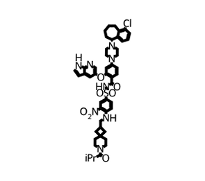 CC(C)C(=O)N1CCC2(CC1)CC(CNc1ccc(S(=O)(=O)NC(=O)c3ccc(N4CCN([C@@H]5CCCCc6c(Cl)cccc65)CC4)cc3Oc3cnc4[nH]ccc4c3)cc1[N+](=O)[O-])C2